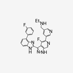 CCNCc1cncc(-c2ncc3[nH]nc(-c4nc5c(-c6cccc(F)c6)cccc5[nH]4)c3c2F)c1